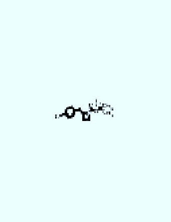 CC(C)(C)OC(=O)N1CCC1Cc1ccc(Cl)cc1